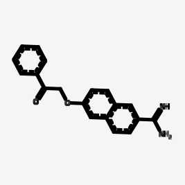 N=C(N)c1ccc2cc(OCC(=O)c3ccccc3)ccc2c1